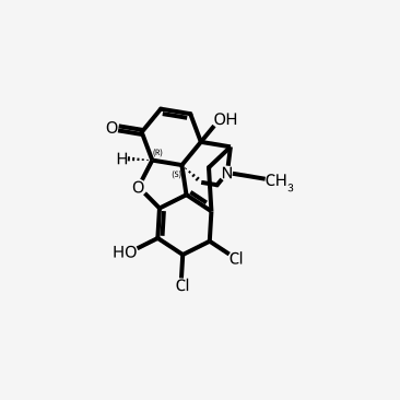 CN1CC[C@@]23C4=C5CC1C2(O)C=CC(=O)[C@@H]3OC4=C(O)C(Cl)C5Cl